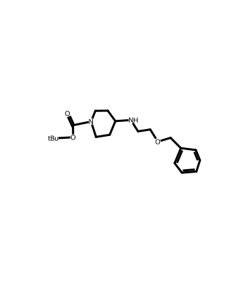 CC(C)(C)OC(=O)N1CCC(NCCOCc2ccccc2)CC1